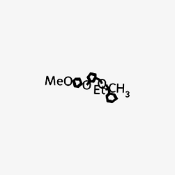 CCC(C)(COCc1cccc(Oc2ccc(OC)cc2)c1)c1ccccc1